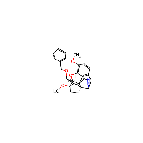 COc1ccc2c3c1O[C@H]1[C@@]4(OC)CC[C@@]5(C[C@@H]4COCc4ccccc4)C(C2)NCC[C@]315